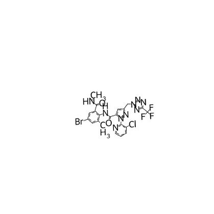 CNC(=O)c1cc(Br)cc(C)c1NC(=O)c1cc(Cn2nnc(C(F)(F)F)n2)nn1-c1ncccc1Cl